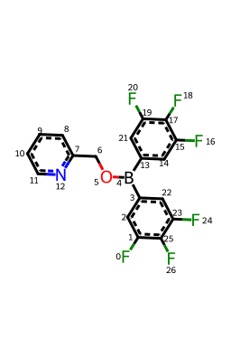 Fc1cc(B(OCc2ccccn2)c2cc(F)c(F)c(F)c2)cc(F)c1F